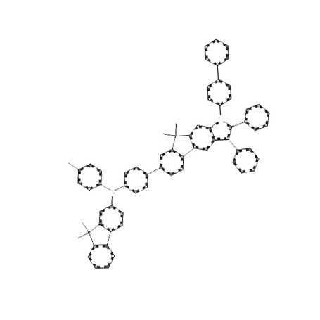 Cc1ccc(N(c2ccc(-c3ccc4c(c3)C(C)(C)c3cc5c(cc3-4)c(-c3ccccc3)c(-c3ccccc3)n5-c3ccc(-c4ccccc4)cc3)cc2)c2ccc3c(c2)C(C)(C)c2ccccc2-3)cc1